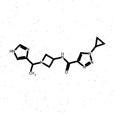 CC(c1c[nH]cn1)N1CC(NC(=O)c2cn(C3CC3)nn2)C1